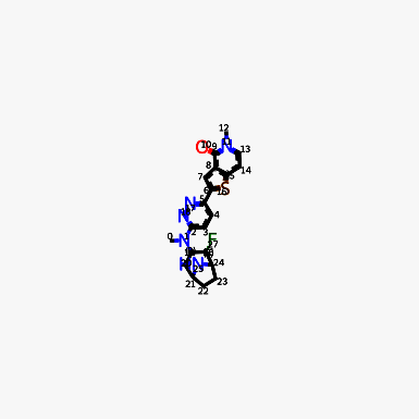 CN(c1ccc(-c2cc3c(=O)n(C)ccc3s2)nn1)[C@@H]1CC2CCC(N2)[C@@H]1F